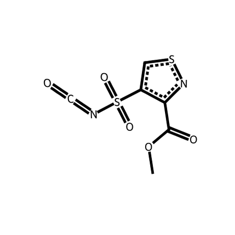 COC(=O)c1nscc1S(=O)(=O)N=C=O